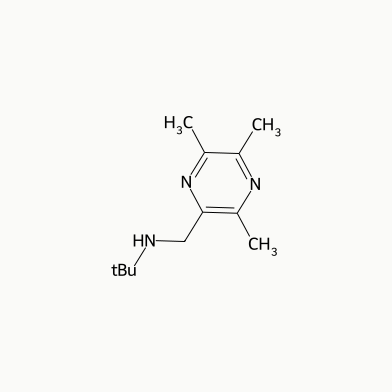 Cc1nc(C)c(CNC(C)(C)C)nc1C